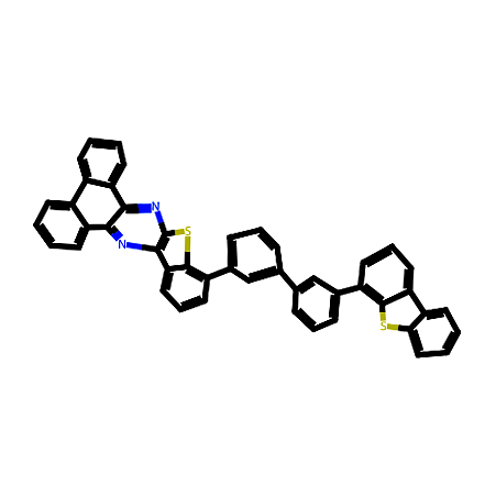 c1cc(-c2cccc(-c3cccc4c3sc3nc5c6ccccc6c6ccccc6c5nc34)c2)cc(-c2cccc3c2sc2ccccc23)c1